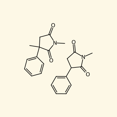 CN1C(=O)CC(C)(c2ccccc2)C1=O.CN1C(=O)CC(c2ccccc2)C1=O